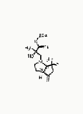 CC(C)(C)OC(=O)C(C)(O)CN1CC[C@@H]2NCC(F)(F)[C@@H]21